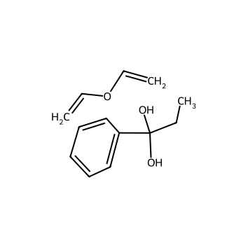 C=COC=C.CCC(O)(O)c1ccccc1